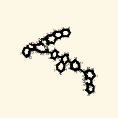 c1ccc2cc3cc4c(cc3cc2c1)nc1c2sc3ccccc3c2cc(-c2ccc(-c3ccc(-c5ccc(-c6cccc7c6sc6ccccc67)cc5)c5ccccc35)cc2)n41